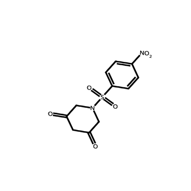 O=C1CC(=O)CN(S(=O)(=O)c2ccc([N+](=O)[O-])cc2)C1